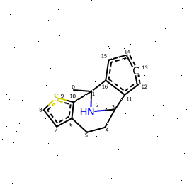 CC12NC(CCc3ccsc31)c1ccccc12